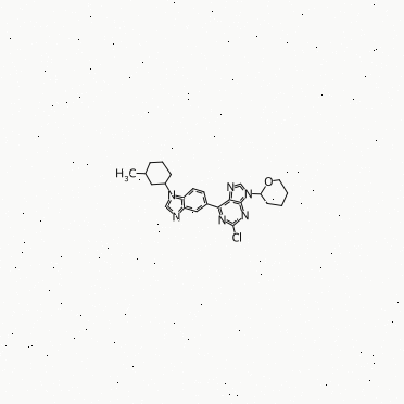 CC1CCCC(n2cnc3cc(-c4nc(Cl)nc5c4ncn5C4CCCCO4)ccc32)C1